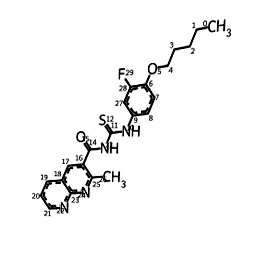 CCCCCOc1ccc(NC(=S)NC(=O)c2cc3cccnc3nc2C)cc1F